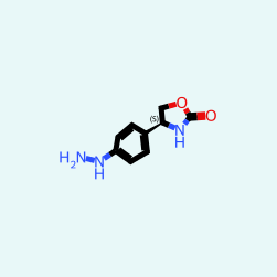 NNc1ccc([C@H]2COC(=O)N2)cc1